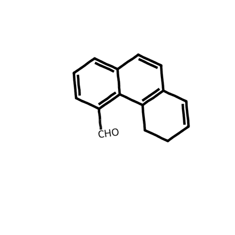 O=Cc1cccc2ccc3c(c12)CCC=C3